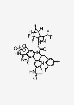 C=C1[C@@H]2c3c(C(F)F)nn(CC(=O)N[C@@H](Cc4cc(F)cc(F)c4)c4nc5c(cc4-c4ccc(Cl)c6c(NS(C)(=O)=O)nn(C)c46)NC(=O)CC5)c3C(F)(F)[C@H]12